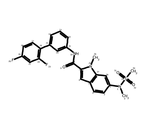 CN(c1ccc2cc(C(=O)Nc3cccc(-c4ccc(F)cc4F)c3)n(C)c2c1)S(C)(=O)=O